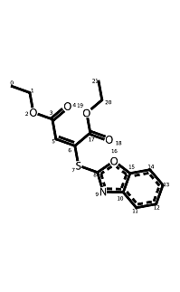 CCOC(=O)C=C(Sc1nc2ccccc2o1)C(=O)OCC